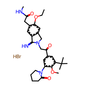 Br.CCOc1cc2c(cc1CC(=O)NC)C(=N)N(CC(=O)c1cc(N3CCCCC3=O)c(OC)c(C(C)(C)C)c1)C2